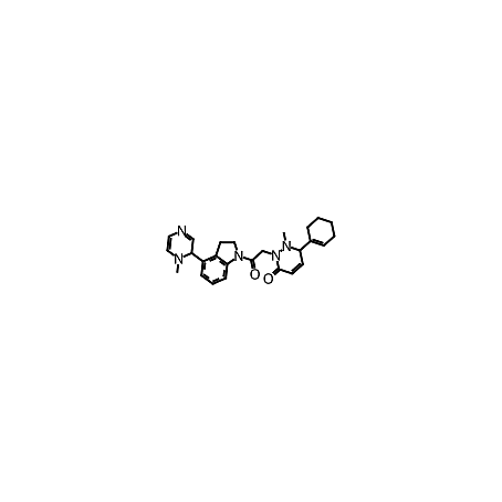 CN1C=CN=CC1c1cccc2c1CCN2C(=O)CN1C(=O)C=CC(C2=CCCCC2)N1C